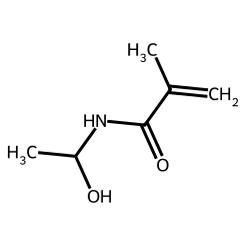 C=C(C)C(=O)NC(C)O